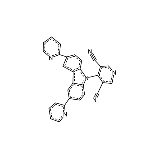 N#Cc1cncc(C#N)c1-n1c2ccc(-c3ccccn3)cc2c2cc(-c3ccccn3)ccc21